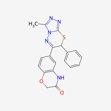 Cc1nnc2n1N=C(c1ccc3c(c1)NC(=O)CO3)C(c1ccccc1)S2